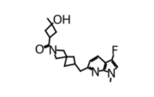 Cn1cc(F)c2ccc(CC3CC4(C3)CN(C(=O)C3CC(C)(O)C3)C4)nc21